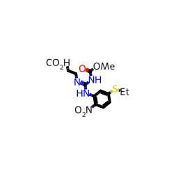 CCSc1ccc([N+](=O)[O-])c(N/C(=N/CCC(=O)O)NC(=O)OC)c1